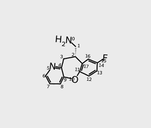 NC[C@H]1Cc2ncccc2Oc2ccc(F)cc21